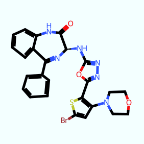 O=C1Nc2ccccc2C(c2ccccc2)=N[C@@H]1Nc1nnc(-c2sc(Br)cc2N2CCOCC2)o1